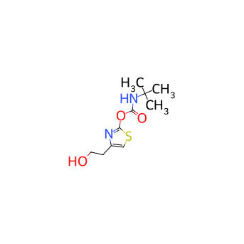 CC(C)(C)NC(=O)Oc1nc(CCO)cs1